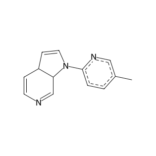 Cc1ccc(N2C=CC3C=CN=CC32)nc1